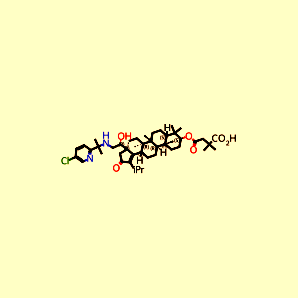 CC(C)C1=C2[C@H]3CC[C@@H]4[C@@]5(C)CC[C@H](OC(=O)CC(C)(C)C(=O)O)C(C)(C)[C@H]5CC[C@@]4(C)[C@]3(C)CC[C@@]2([C@@H](O)CNC(C)(C)c2ccc(Cl)cn2)CC1=O